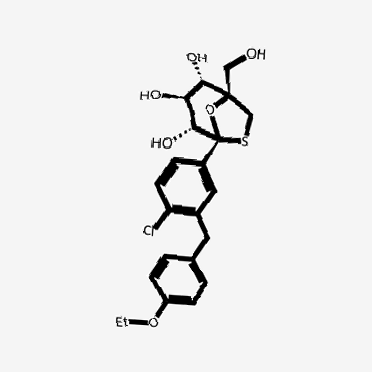 CCOc1ccc(Cc2cc([C@@]34O[C@@](CO)(CS3)[C@@H](O)[C@H](O)[C@H]4O)ccc2Cl)cc1